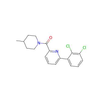 CC1CCN(C(=O)c2cccc(-c3cccc(Cl)c3Cl)n2)CC1